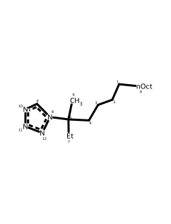 CCCCCCCCCCCCC(C)(CC)n1cnnn1